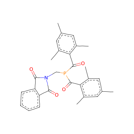 Cc1cc(C)c(C(=O)P(CN2C(=O)c3ccccc3C2=O)C(=O)c2c(C)cc(C)cc2C)c(C)c1